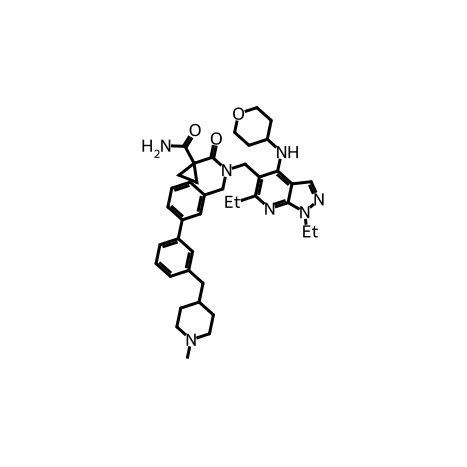 CCc1nc2c(cnn2CC)c(NC2CCOCC2)c1CN(Cc1cccc(-c2cccc(CC3CCN(C)CC3)c2)c1)C(=O)C1(C(N)=O)CC1